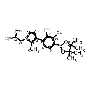 Cc1c(-c2ccc(B3OC(C)(C)C(C)(C)O3)c(F)c2F)cnn1CC(F)F